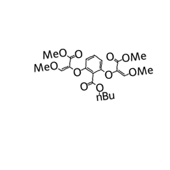 CCCCOC(=O)c1c(OC(=COC)C(=O)OC)cccc1OC(=COC)C(=O)OC